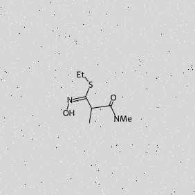 CCSC(=NO)C(C)C(=O)NC